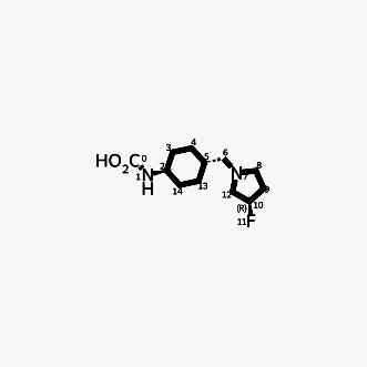 O=C(O)N[C@H]1CC[C@H](CN2CC[C@@H](F)C2)CC1